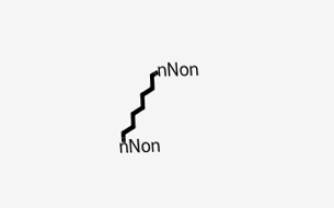 CC[CH]CCCCCCCCCCCCCCCCCCCCCC